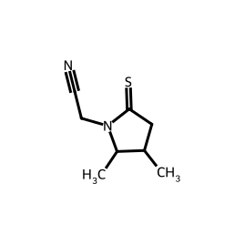 CC1CC(=S)N(CC#N)C1C